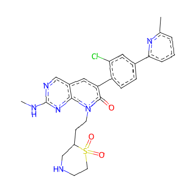 CNc1ncc2cc(-c3ccc(-c4cccc(C)n4)cc3Cl)c(=O)n(CCC3CNCCS3(=O)=O)c2n1